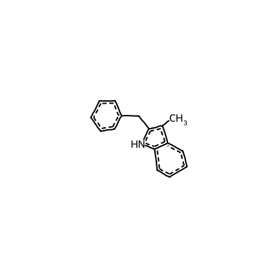 Cc1c(Cc2ccccc2)[nH]c2ccccc12